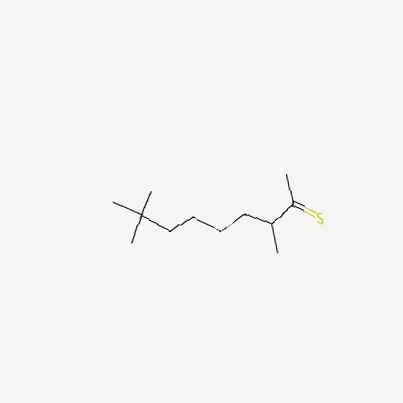 CC(=S)C(C)CCCCC(C)(C)C